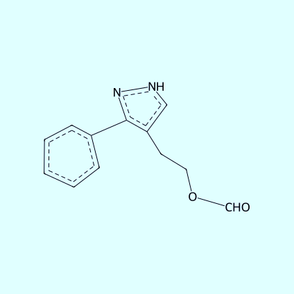 O=COCCc1c[nH]nc1-c1ccccc1